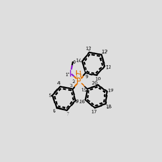 C[I][PH](c1ccccc1)(c1ccccc1)c1ccccc1